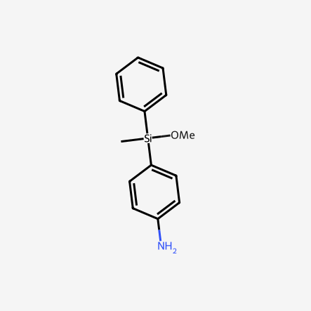 CO[Si](C)(c1ccccc1)c1ccc(N)cc1